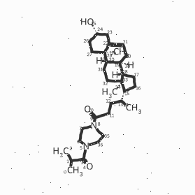 CC(C)C(=O)N1CCN(C(=O)CCC(C)[C@H]2CC[C@H]3[C@@H]4CC=C5C[C@@H](O)CC[C@]5(C)[C@H]4CC[C@]23C)CC1